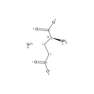 N[C@@H](CCC(=O)[O-])C(=O)[O-].[Sr+2]